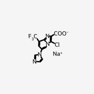 O=C([O-])c1nc2c(C(F)(F)F)cc(-n3ccnc3)cn2c1Cl.[Na+]